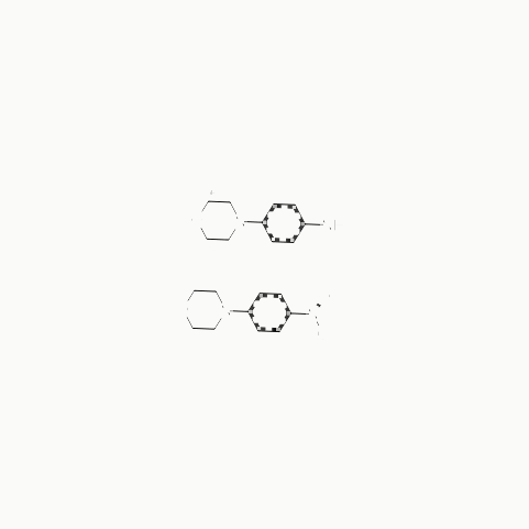 C[C@@H]1CN(c2ccc(N)cc2)C[C@H](C)O1.C[C@@H]1CN(c2ccc([N+](=O)[O-])cc2)C[C@H](C)O1